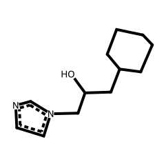 OC(CC1CCCCC1)Cn1ccnc1